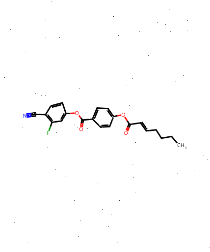 CCCC/C=C/C(=O)Oc1ccc(C(=O)Oc2ccc(C#N)c(F)c2)cc1